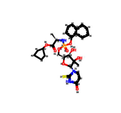 C[C@H](NP(=O)(OC[C@H]1O[C@@H](n2ccc(=O)[nH]c2=S)C(C)(O)[C@H]1O)Oc1cccc2ccccc12)C(=O)OC1CCCC1